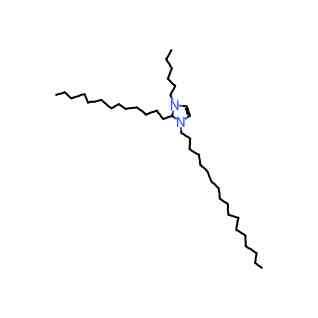 CCCCCCCCCCCCCCCCCCN1C=CN(CCCCCC)C1CCCCCCCCCCCCC